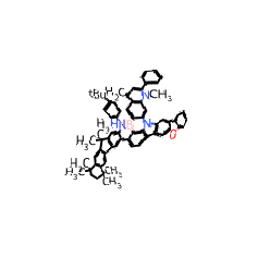 C=C1C=C(c2ccccc2)N(C)c2cc3c(cc21)Bc1c(-c2cc4c(cc2Nc2ccc(C(C)(C)C)cc2)C(C)(C)c2cc5c(cc2-4)C(C)(C)CCC5(C)C)ccc2c4cc5oc6ccccc6c5cc4n-3c12